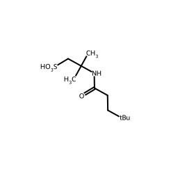 CC(C)(C)CCC(=O)NC(C)(C)CS(=O)(=O)O